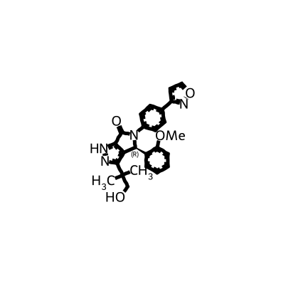 COc1ccccc1[C@H]1c2c(C(C)(C)CO)n[nH]c2C(=O)N1c1ccc(-c2ccon2)cc1